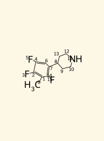 Cc1c(F)c(F)cc(C2CCNCC2)c1F